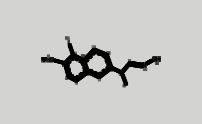 COc1ccc2cc(C(C)C=NO)ccc2c1I